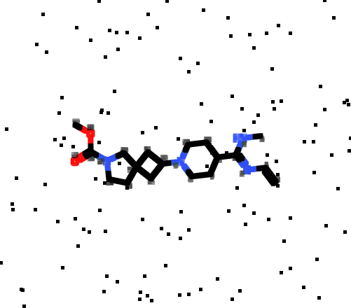 C=C/N=C(\NC)C1CCN(C2CC3(CCN(C(=O)OC)C3)C2)CC1